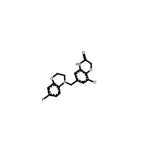 O=C1COc2c(Cl)cc(CN3CCOc4cc(F)ccc43)cc2N1